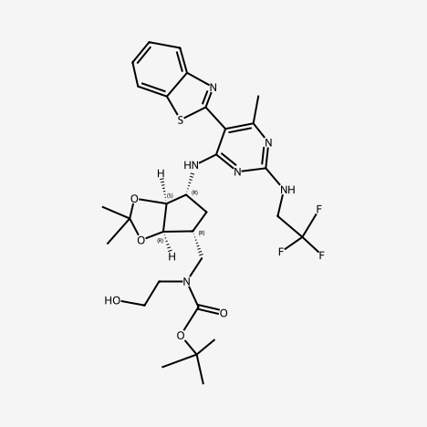 Cc1nc(NCC(F)(F)F)nc(N[C@@H]2C[C@H](CN(CCO)C(=O)OC(C)(C)C)[C@H]3OC(C)(C)O[C@H]32)c1-c1nc2ccccc2s1